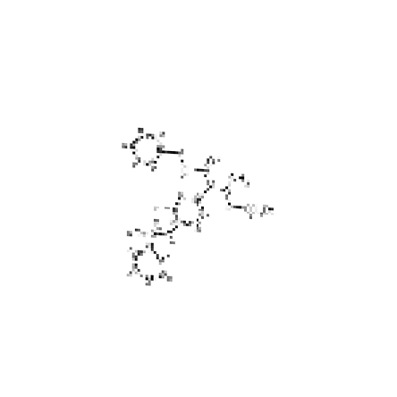 CCOC(=O)CC(N)C(C(=O)OCc1ccccc1)c1ccc(OS(=O)(=O)c2ccccc2)cc1